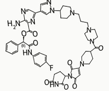 Nc1ncc(-c2cnn(C3CCN(CCCN4CCN(C(=O)C5CCN(C6=CC(=O)N(C7CCC(=O)NC7=O)C6=O)CC5)CC4)CC3)c2)nc1C(=O)O[C@@H](C(=O)Nc1ccc(F)cc1)c1ccccc1